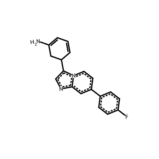 NC1=CC=CC(c2cnc3cc(-c4ccc(F)cc4)ccn23)C1